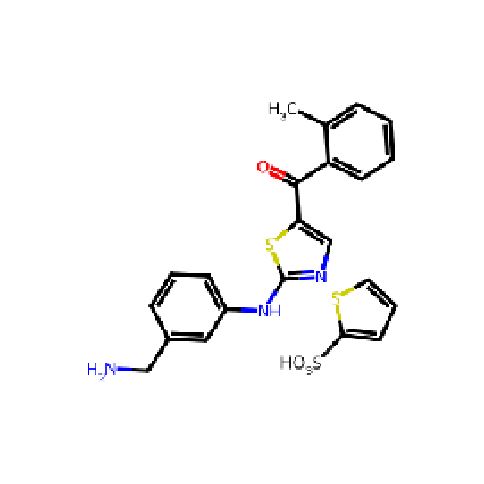 Cc1ccccc1C(=O)c1cnc(Nc2cccc(CN)c2)s1.O=S(=O)(O)c1cccs1